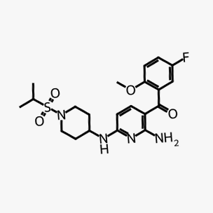 COc1ccc(F)cc1C(=O)c1ccc(NC2CCN(S(=O)(=O)C(C)C)CC2)nc1N